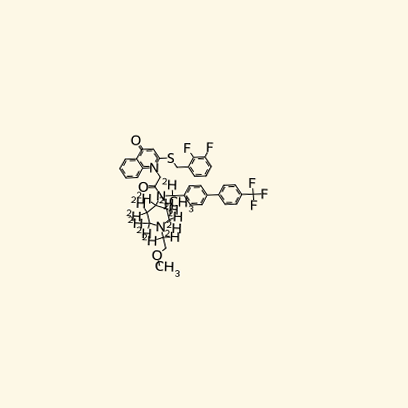 [2H]C([2H])(COC)N1C([2H])([2H])C([2H])([2H])C([2H])(N(C(=O)Cn2c(SCc3cccc(F)c3F)cc(=O)c3ccccc32)C([2H])(C)c2ccc(-c3ccc(C(F)(F)F)cc3)cc2)C([2H])([2H])C1([2H])[2H]